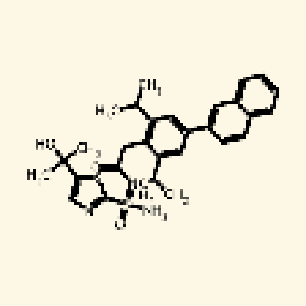 CC(C)c1cc(-c2ccc3ccccc3c2)cc(C(C)C)c1CC(=O)N=S(N)(=O)c1ncc(C(C)(C)O)s1